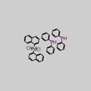 [Cl][Pd]([Cl])([c]1cccc2ccccc12)[c]1cccc2ccccc12.c1ccc(Pc2ccccc2)cc1.c1ccc(Pc2ccccc2)cc1